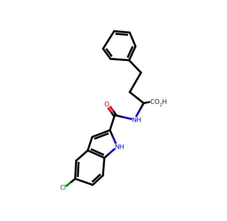 O=C(NC(CCc1ccccc1)C(=O)O)c1cc2cc(Cl)ccc2[nH]1